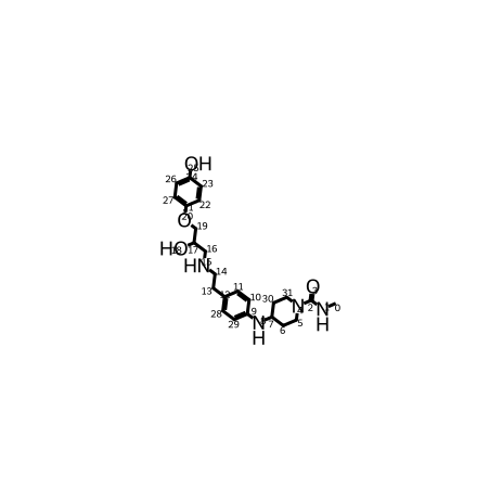 CNC(=O)N1CCC(Nc2ccc(CCNCC(O)COc3ccc(O)cc3)cc2)CC1